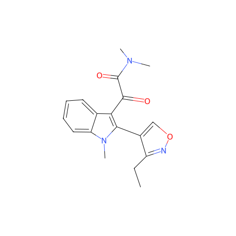 CCc1nocc1-c1c(C(=O)C(=O)N(C)C)c2ccccc2n1C